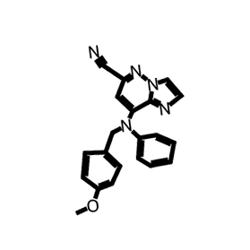 COc1ccc(CN(c2ccccc2)c2cc(C#N)nn3ccnc23)cc1